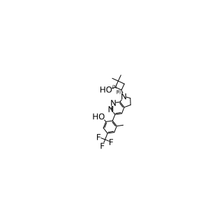 Cc1cc(C(F)(F)F)cc(O)c1-c1cc2c(nn1)N([C@@H]1CC(C)(C)[C@@H]1O)CC2